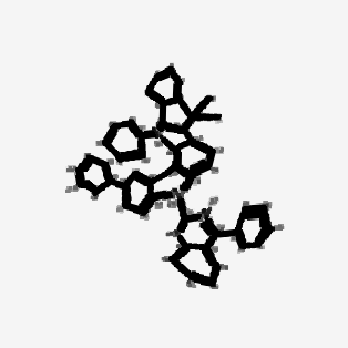 CC1(C)c2ccccc2-c2c1c1ccc3c(c4cc(-c5ccccc5)ccc4n3-c3nc(-c4ccccc4)c4ccccc4n3)c1n2-c1ccccc1